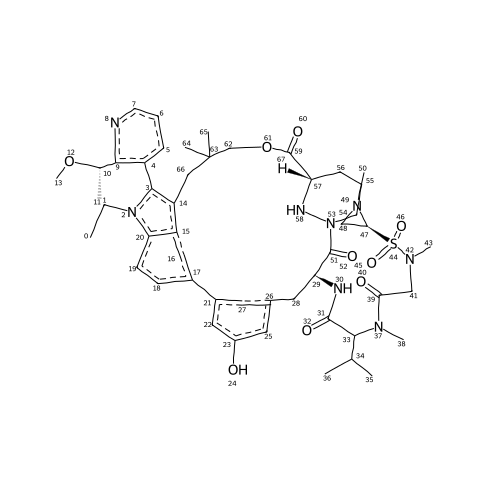 CCn1c(-c2cccnc2[C@H](C)OC)c2c3cc(ccc31)-c1cc(O)cc(c1)C[C@H](NC(=O)C(C(C)C)N(C)C(=O)CN(C)S(=O)(=O)[C@H]1CN1C)C(=O)N1CCC[C@H](N1)C(=O)OCC(C)(C)C2